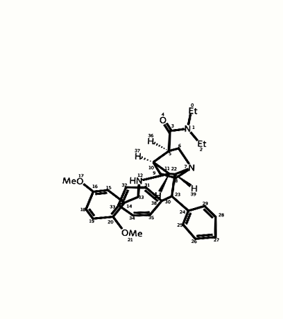 CCN(CC)C(=O)[C@H]1CN2CC[C@@H]1[C@@H](NCc1cc(OC)ccc1OC)[C@H]2C(c1ccccc1)c1ccccc1